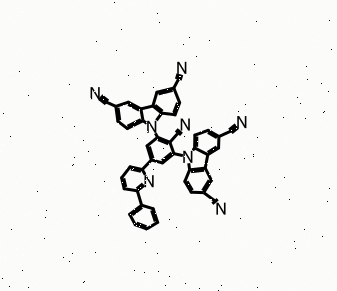 N#Cc1ccc2c(c1)c1cc(C#N)ccc1n2-c1cc(-c2cccc(-c3ccccc3)n2)cc(-n2c3ccc(C#N)cc3c3cc(C#N)ccc32)c1C#N